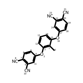 Cc1c(Oc2ccc(C#N)c(C#N)c2)cccc1Oc1ccc(C#N)c(C#N)c1